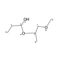 CCC(O)OC(C)COC